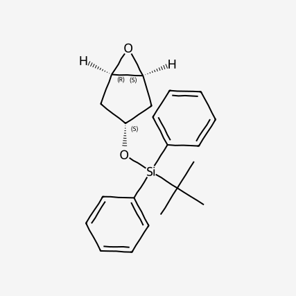 CC(C)(C)[Si](O[C@H]1C[C@@H]2O[C@@H]2C1)(c1ccccc1)c1ccccc1